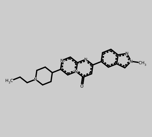 CCCN1CCC(c2cn3c(=O)cc(-c4ccc5nn(C)cc5c4)nc3cn2)CC1